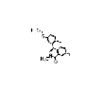 CCSc1ccc(F)c(-c2cn(C)c(=O)c3cc(F)ccc23)c1